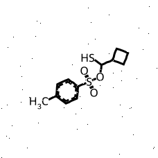 Cc1ccc(S(=O)(=O)OC(S)C2CCC2)cc1